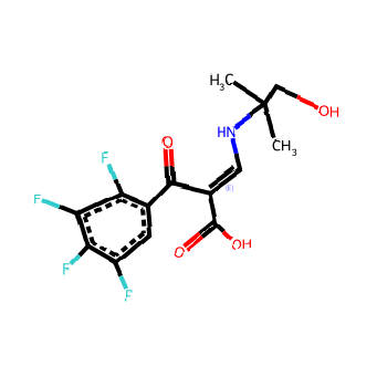 CC(C)(CO)N/C=C(/C(=O)O)C(=O)c1cc(F)c(F)c(F)c1F